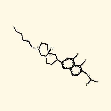 CCCCCC[C@@H]1CC[C@@H]2CC(c3cc(F)c4c(F)c(OC(F)F)ccc4c3)CCC2C1